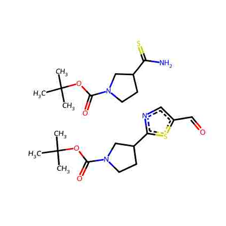 CC(C)(C)OC(=O)N1CCC(C(N)=S)C1.CC(C)(C)OC(=O)N1CCC(c2ncc(C=O)s2)C1